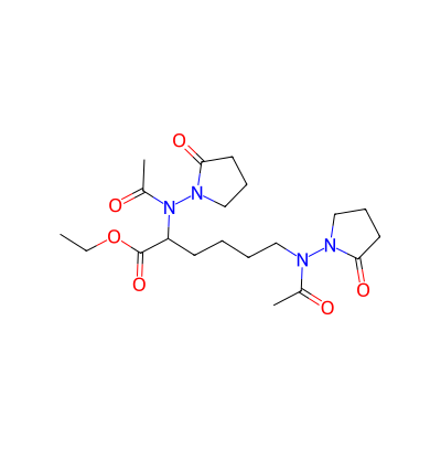 CCOC(=O)C(CCCCN(C(C)=O)N1CCCC1=O)N(C(C)=O)N1CCCC1=O